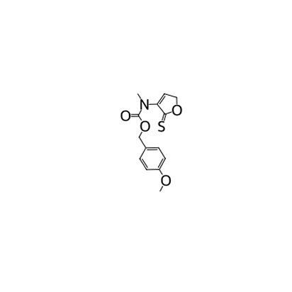 COc1ccc(COC(=O)N(C)C2=CCOC2=S)cc1